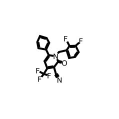 N#Cc1c(C(F)(F)F)cc(-c2ccccc2)n(Cc2cccc(F)c2F)c1=O